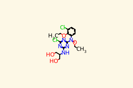 CCOc1c(Cl)cccc1N(OCC)c1nc(Cl)nc(NC(CO)CO)n1